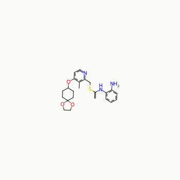 C=C(Nc1ccccc1N)SCc1nccc(OC2CCC3(CC2)OCCO3)c1C